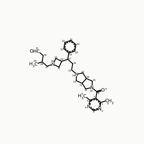 Cc1ncnc(C)c1C(=O)N1CC2CN(CCC(c3ccccc3)C3CN(CC(C)CC=O)C3)CC2C1